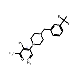 C=C/C(=C(/S)C(C)=O)N1CCN(Cc2cccc(C(F)(F)F)c2)CC1